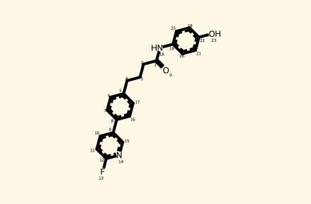 O=C(CCCc1ccc(-c2ccc(F)nc2)cc1)Nc1ccc(O)cc1